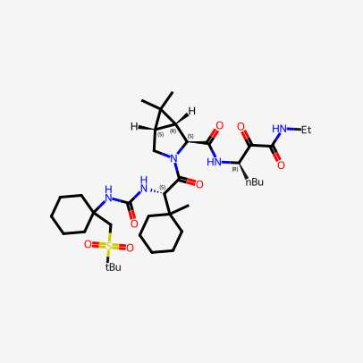 CCCC[C@@H](NC(=O)[C@@H]1[C@@H]2[C@H](CN1C(=O)[C@@H](NC(=O)NC1(CS(=O)(=O)C(C)(C)C)CCCCC1)C1(C)CCCCC1)C2(C)C)C(=O)C(=O)NCC